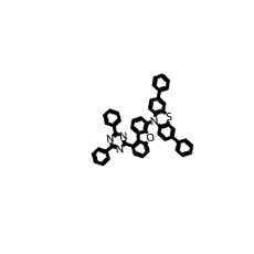 c1ccc(-c2ccc3c(c2)Sc2cc(-c4ccccc4)ccc2N3c2cccc3c2oc2cccc(-c4nc(-c5ccccc5)nc(-c5ccccc5)n4)c23)cc1